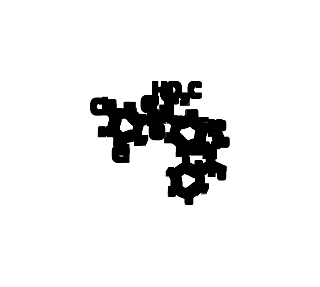 CC(c1ccccc1)n1cnc2cc(N(CC(=O)O)S(=O)(=O)c3cc(Cl)cc(Cl)c3)ccc21